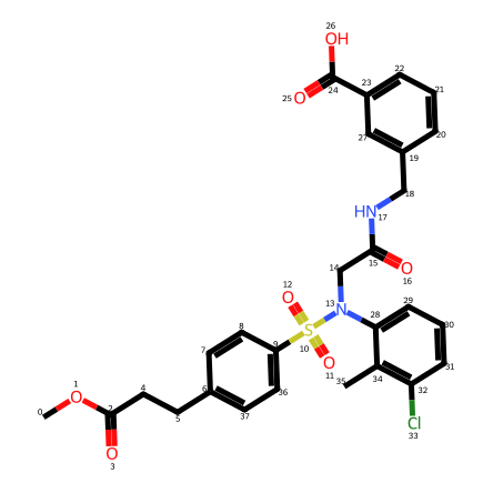 COC(=O)CCc1ccc(S(=O)(=O)N(CC(=O)NCc2cccc(C(=O)O)c2)c2cccc(Cl)c2C)cc1